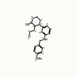 COc1ccc(CNc2ccnc(N3CCOC(Cl)C3CCCl)n2)cc1